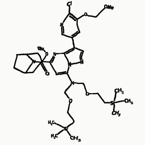 COCOc1cc(-c2cnn3c(N(COCC[Si](C)(C)C)COCC[Si](C)(C)C)cc(C4CC5CCC(C4)N5C(=O)OC(C)(C)C)nc23)cnc1Cl